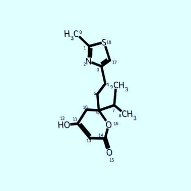 Cc1nc(CCC2(C(C)C)CC(O)=CC(=O)O2)cs1